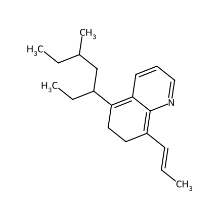 C/C=C/C1=c2ncccc2=C(C(CC)CC(C)CC)CC1